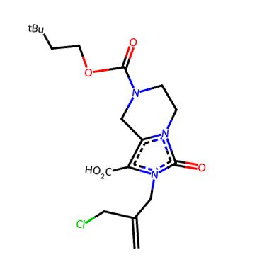 C=C(CCl)Cn1c(C(=O)O)c2n(c1=O)CCN(C(=O)OCCC(C)(C)C)C2